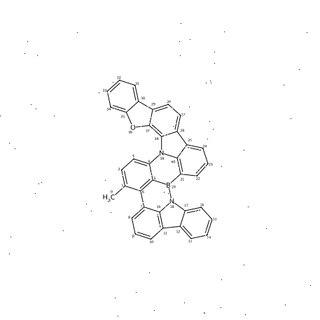 Cc1ccc2c3c1-c1cccc4c5ccccc5n(c14)B3c1cccc3c4ccc5c6ccccc6oc5c4n-2c13